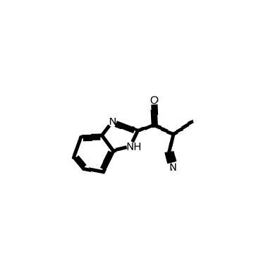 CC(C#N)C(=O)c1nc2ccccc2[nH]1